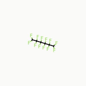 F[C](F)C(F)(F)C(F)(F)C(F)(F)C(F)(F)[C](F)F